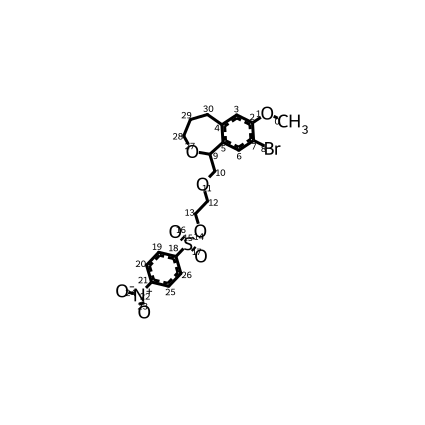 COc1cc2c(cc1Br)C(COCCOS(=O)(=O)c1ccc([N+](=O)[O-])cc1)OCCC2